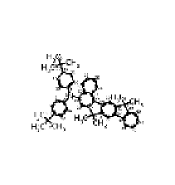 CC(C)(C)c1ccc(N(C2=CCC(C(C)(C)C)C=C2)c2cc3c(c4ccccc24)-c2cc4c(cc2C3(C)C)-c2ccccc2C4(C)C)cc1